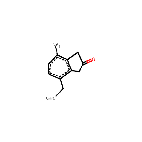 Cc1ccc(CC=O)c2c1CC(=O)C2